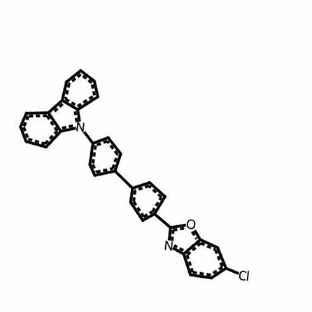 Clc1ccc2nc(-c3ccc(-c4ccc(-n5c6ccccc6c6ccccc65)cc4)cc3)oc2c1